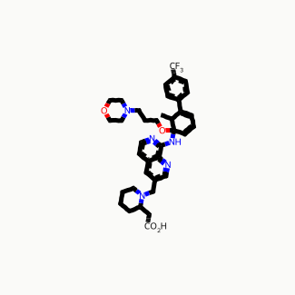 CC1C(c2ccc(C(F)(F)F)cc2)=CC=CC1(Nc1nccc2cc(CN3CCCCC3CC(=O)O)cnc12)OCCCN1CCOCC1